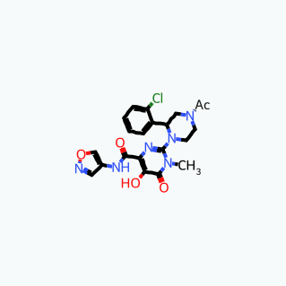 CC(=O)N1CCN(c2nc(C(=O)Nc3cnoc3)c(O)c(=O)n2C)C(c2ccccc2Cl)C1